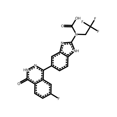 O=C(O)N(CC(F)(F)F)c1nc2cc(-c3n[nH]c(=O)c4ccc(F)cc34)ccc2[nH]1